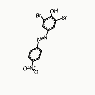 O=[N+]([O-])c1ccc(N=Nc2cc(Br)c(O)c(Br)c2)cc1